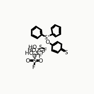 O=S(=O)(O)F.O=S(=O)(O)F.O=S(=O)(O)F.O=S(=O)([O-])F.S=C1C=CC(O[S+](c2ccccc2)c2ccccc2)=CC1